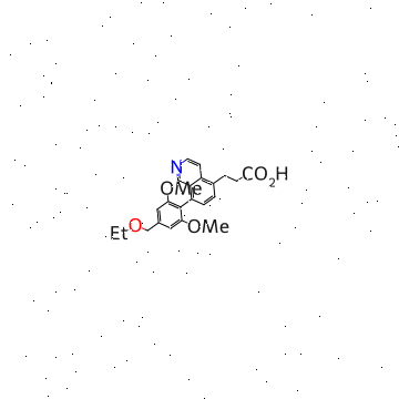 CCOCc1cc(OC)c(-c2ccc(CCC(=O)O)c3ccncc23)c(OC)c1